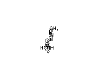 CN1CCN(c2ccc(-c3cc(Oc4ccc5nc(N[C@@H]6c7ccccc7C[C@@H]6O)sc5c4)ccn3)cn2)CC1